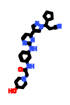 N#CCC(C1CCCC1)n1cc(-c2ccnc(Nc3cccc(NC(=O)CN4CCC(O)CC4)c3)n2)cn1